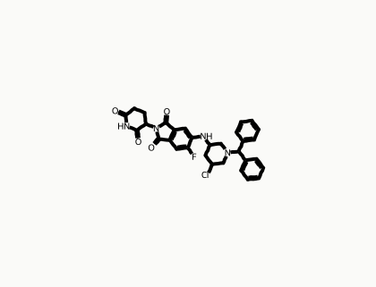 O=C1CCC(N2C(=O)c3cc(F)c(NC4CC(Cl)CN(C(c5ccccc5)c5ccccc5)C4)cc3C2=O)C(=O)N1